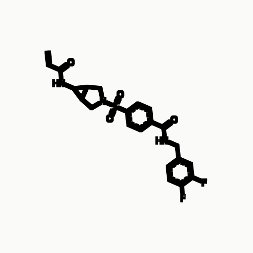 C=CC(=O)NC1C2CN(S(=O)(=O)c3ccc(C(=O)NCc4ccc(F)c(F)c4)cc3)CC21